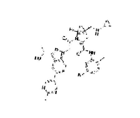 Cc1ncc(-c2ccc3c(c2)c(C(C)O)nn3CC(=O)N2[C@H](C(=O)Nc3nc(Br)ccc3C)C[C@@]3(CNC4CC4)C[C@@H]23)cn1